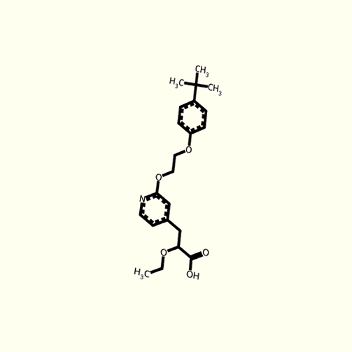 CCOC(Cc1ccnc(OCCOc2ccc(C(C)(C)C)cc2)c1)C(=O)O